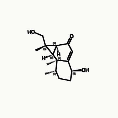 C[C@H]1CC[C@H](O)C2=CC(=O)[C@H]3[C@H]([C@]3(C)CO)[C@@]21C